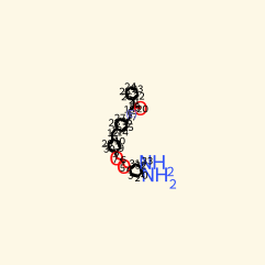 Nc1ccc(OCOc2ccc(Cc3ccc(/C=C/C(=O)c4ccccc4)cc3)cc2)cc1N